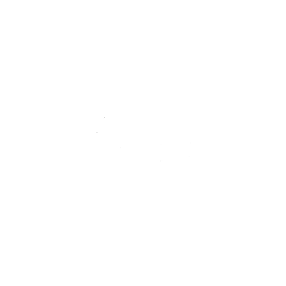 C1=CC2=CC(c3ccccc3)CCC2=C1